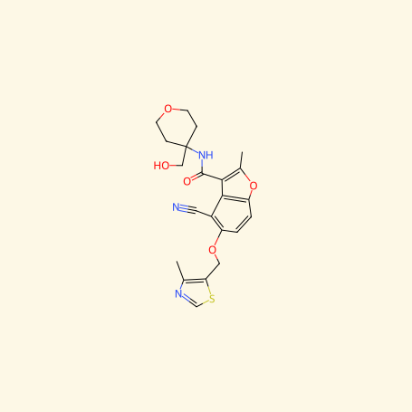 Cc1ncsc1COc1ccc2oc(C)c(C(=O)NC3(CO)CCOCC3)c2c1C#N